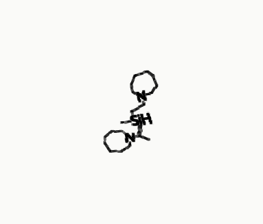 CC(=C[SiH](C)CCN1CCCCCCC1)N1CCCCCCC1